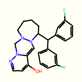 OC1=CC=NN2CN3CCCCC(C(c4cccc(F)c4)c4cccc(F)c4)N3C=C12